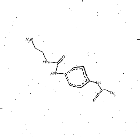 CC(=O)Nc1ccc(NC(=O)NCCN)cc1